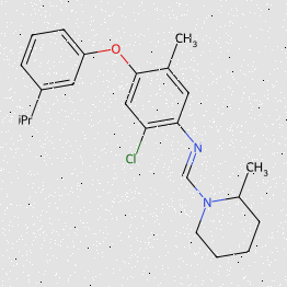 Cc1cc(/N=C/N2CCCCC2C)c(Cl)cc1Oc1cccc(C(C)C)c1